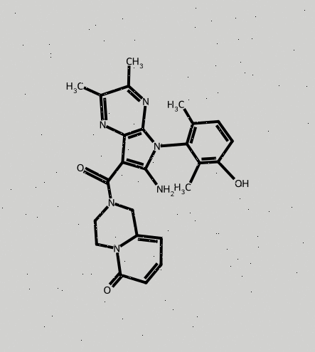 Cc1ccc(O)c(C)c1-n1c(N)c(C(=O)N2CCn3c(cccc3=O)C2)c2nc(C)c(C)nc21